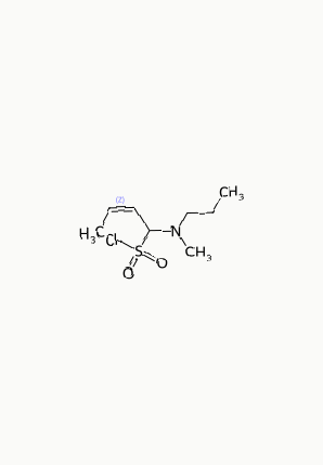 C/C=C\C(N(C)CCC)S(=O)(=O)Cl